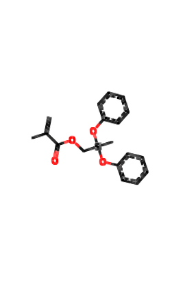 C=C(C)C(=O)OC[Si](C)(Oc1ccccc1)Oc1ccccc1